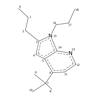 CCCc1cc2c(C(C)(C)C)ccnc2n1CCC